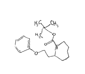 CC(C)(C)OC(=O)N1CCCCC1CCOc1ccccc1